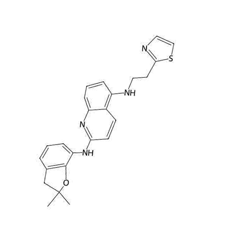 CC1(C)Cc2cccc(Nc3ccc4c(NCCc5nccs5)cccc4n3)c2O1